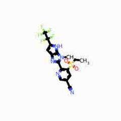 CCS(=O)(=O)c1cc(C#N)cnc1-c1nc2cc(C(F)(F)C(F)(F)F)[nH]c2n1C